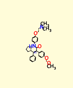 COCOc1ccc(/C(C(=O)Nc2ccc(OCCN(C)C)cc2)=C(\c2ccccc2)C2CCCC2)cc1